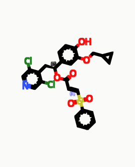 O=C(/C=C/S(=O)(=O)c1ccccc1)O[C@@H](Cc1c(Cl)cncc1Cl)c1ccc(O)c(OCC2CC2)c1